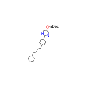 CCCCCCCCCCOc1cnc(-c2ccc(CCCCC3CCCCC3)cc2)nc1